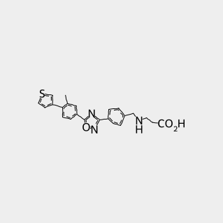 Cc1cc(-c2nc(-c3ccc(CNCCC(=O)O)cc3)no2)ccc1-c1ccsc1